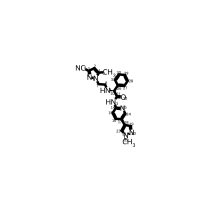 Cc1cc(C#N)nn1CCN[C@H](C(=O)Nc1ccc(-c2cnn(C)c2)cn1)c1ccccc1